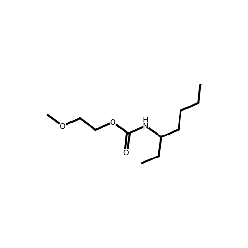 CCCCC(CC)NC(=O)OCCOC